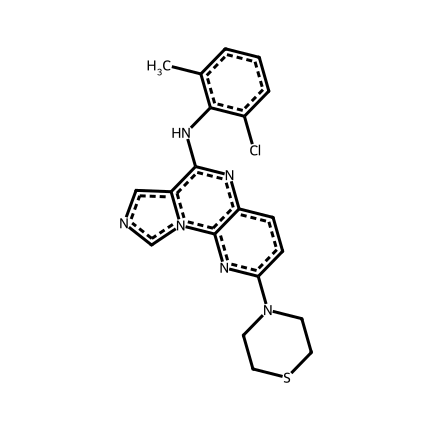 Cc1cccc(Cl)c1Nc1nc2ccc(N3CCSCC3)nc2n2cncc12